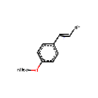 [CH2]CC/C=C/c1ccc(OCCCCCC)cc1